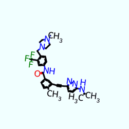 Cc1ccc(C(=O)Nc2ccc(CN3CCN(C)CC3)c(C(F)(F)F)c2)cc1C#Cc1ccc(NC(C)C)nn1